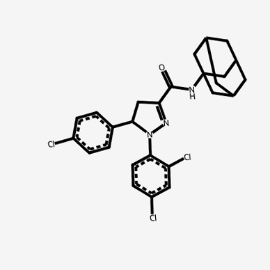 O=C(NC12CC3CC(CC(C3)C1)C2)C1=NN(c2ccc(Cl)cc2Cl)C(c2ccc(Cl)cc2)C1